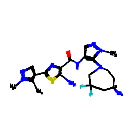 Cc1c(-c2nc(C(=O)Nc3cnn(C)c3N3CC[C@@H](N)CC(F)(F)C3)c(N)s2)cnn1C